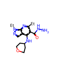 CCc1nc2c(cnn2CC)c(NC2CCOCC2)c1C(=O)NN